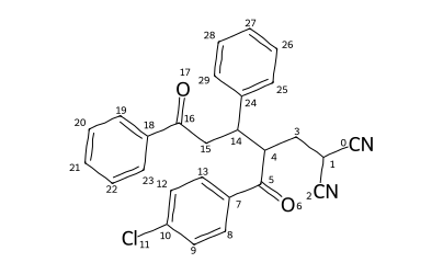 N#CC(C#N)CC(C(=O)c1ccc(Cl)cc1)C(CC(=O)c1ccccc1)c1ccccc1